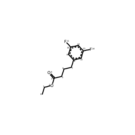 CCOC(=O)CCCc1cc(F)cc(F)c1